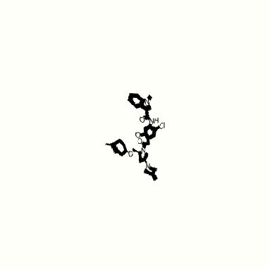 CC1CN([C@H]2C[C@@H](CO[C@H]3CC[C@H](C)CC3)N(C(=O)Cc3cc(Cl)c(NC(=O)c4cn(C)c5ccccc45)cc3Cl)C2)C1